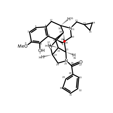 COc1ccc2c(c1O)[C@]13CCN(CC4CC4)[C@H](C2)[C@]12CC[C@@H]1[C@H]3[C@@H](CN1C(=O)c1ccccc1)O2